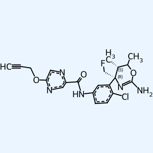 C#CCOc1cnc(C(=O)Nc2ccc(Cl)c([C@]3(CF)N=C(N)OC(C)[C@H]3C)c2)cn1